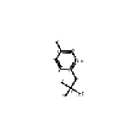 CCC(C)(C)Cc1ccc(C)cn1